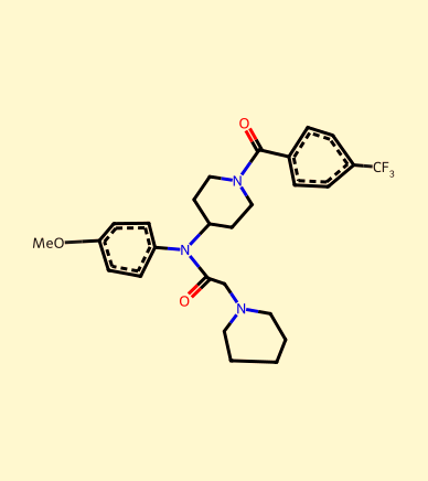 COc1ccc(N(C(=O)CN2CCCCC2)C2CCN(C(=O)c3ccc(C(F)(F)F)cc3)CC2)cc1